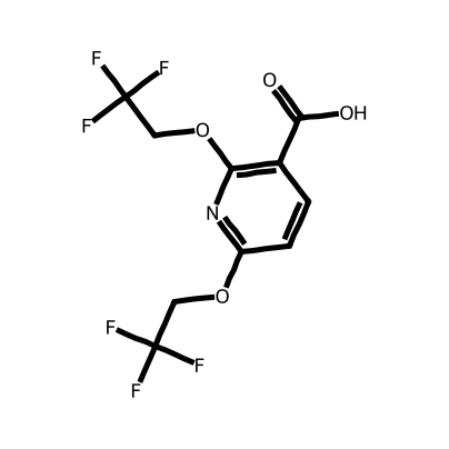 O=C(O)c1ccc(OCC(F)(F)F)nc1OCC(F)(F)F